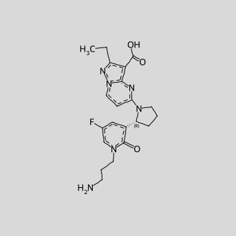 CCc1nn2ccc(N3CCC[C@@H]3c3cc(F)cn(CCCN)c3=O)nc2c1C(=O)O